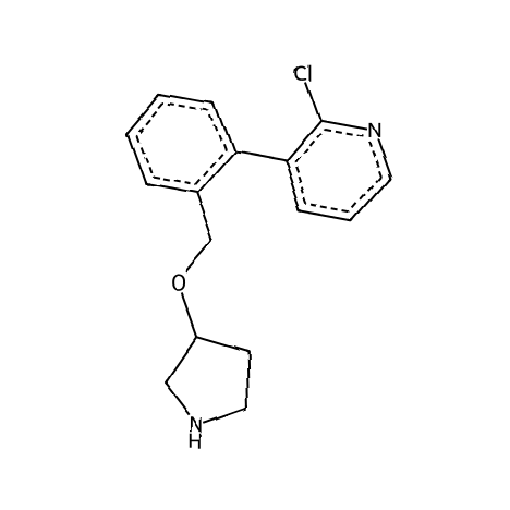 Clc1ncccc1-c1ccccc1COC1CCNC1